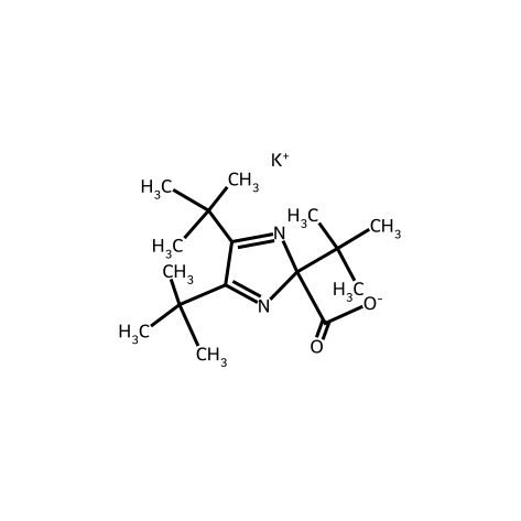 CC(C)(C)C1=NC(C(=O)[O-])(C(C)(C)C)N=C1C(C)(C)C.[K+]